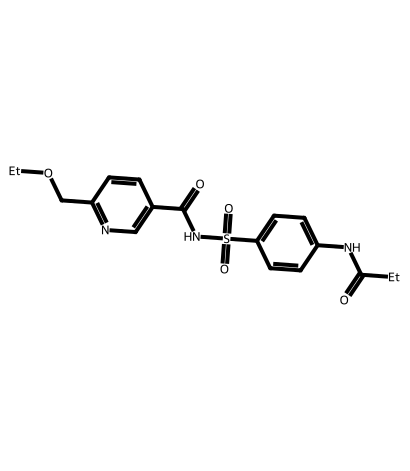 CCOCc1ccc(C(=O)NS(=O)(=O)c2ccc(NC(=O)CC)cc2)cn1